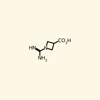 N=C(N)N1CC(C(=O)O)C1